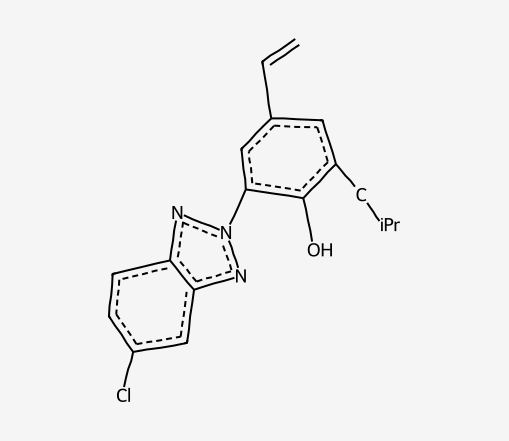 C=Cc1cc(CC(C)C)c(O)c(-n2nc3ccc(Cl)cc3n2)c1